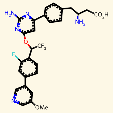 COc1cncc(-c2ccc(C(Oc3cc(-c4ccc(C[C@H](N)CC(=O)O)cc4)nc(N)n3)C(F)(F)F)c(F)c2)c1